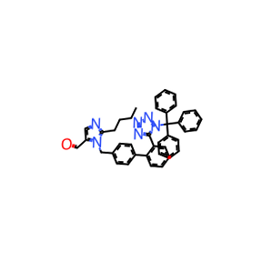 CCCCc1ncc(C=O)n1Cc1ccc(-c2ccccc2-c2nnnn2C(c2ccccc2)(c2ccccc2)c2ccccc2)cc1